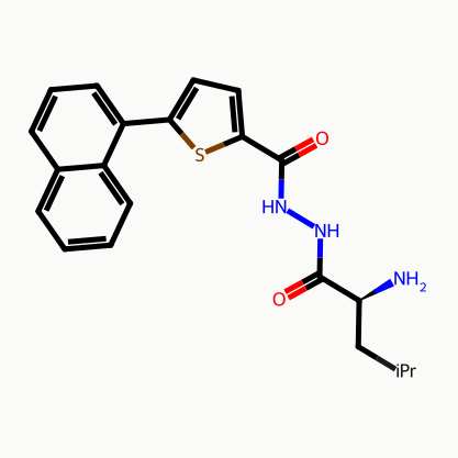 CC(C)C[C@H](N)C(=O)NNC(=O)c1ccc(-c2cccc3ccccc23)s1